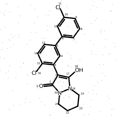 O=c1c(-c2cc(-c3cccc(Cl)c3)ccc2Cl)c(O)n2n1CCCC2